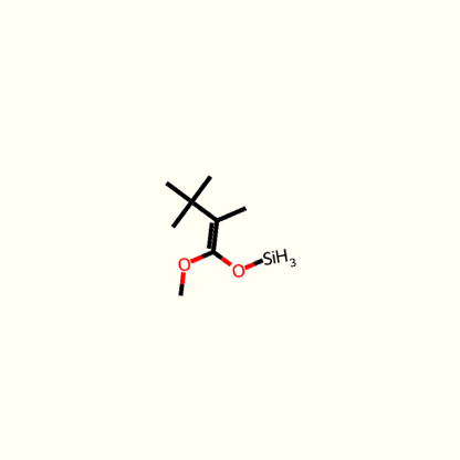 COC(O[SiH3])=C(C)C(C)(C)C